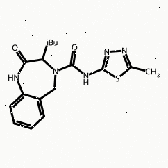 CCC(C)C1C(=O)Nc2ccccc2CN1C(=O)Nc1nnc(C)s1